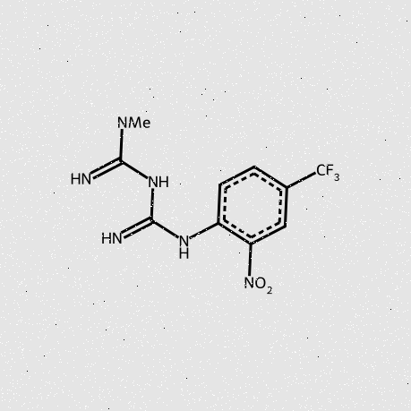 CNC(=N)NC(=N)Nc1ccc(C(F)(F)F)cc1[N+](=O)[O-]